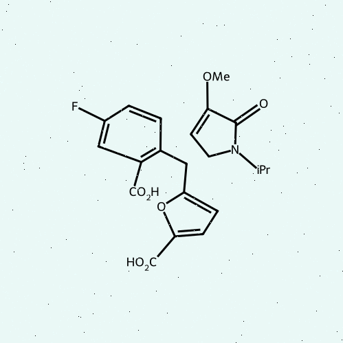 COC1=CCN(C(C)C)C1=O.O=C(O)c1ccc(Cc2ccc(F)cc2C(=O)O)o1